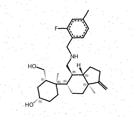 C=C1CC[C@H]2[C@H](CNCc3ccc(C)cc3F)[C@@H]([C@@]3(C)CC[C@H](O)C[C@@H]3CO)CC[C@]12C